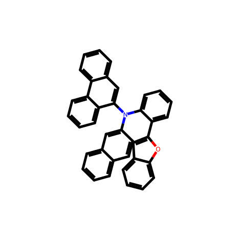 c1ccc(N(c2ccc3ccccc3c2)c2cc3ccccc3c3ccccc23)c(-c2cc3ccccc3o2)c1